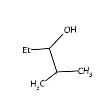 CCC(O)[C](C)C